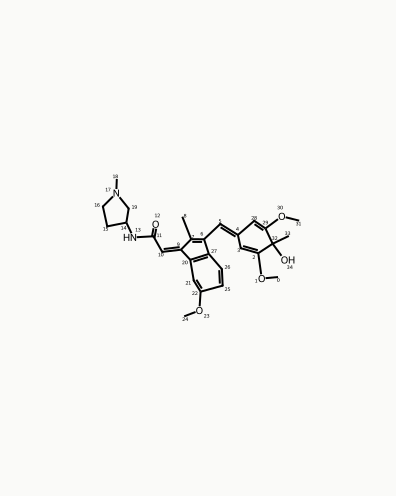 COC1=CC(=CC2=C(C)/C(=C\C(=O)NC3CCN(C)C3)c3cc(OC)ccc32)C=C(OC)C1(C)O